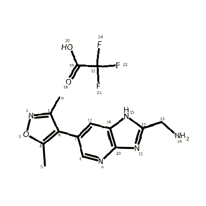 Cc1noc(C)c1-c1cnc2nc(CN)[nH]c2c1.O=C(O)C(F)(F)F